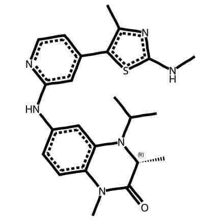 CNc1nc(C)c(-c2ccnc(Nc3ccc4c(c3)N(C(C)C)[C@H](C)C(=O)N4C)c2)s1